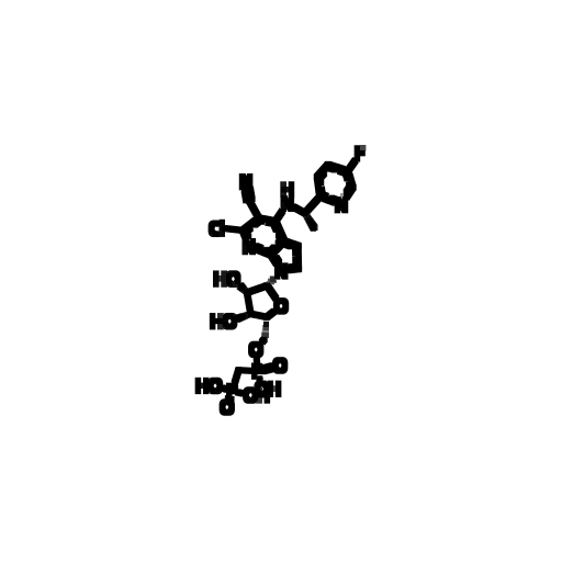 C[C@@H](Nc1c(C#N)c(Cl)nc2c1ccn2[C@@H]1O[C@H](COP(=O)(O)CP(=O)(O)O)[C@@H](O)[C@H]1O)c1ccc(F)cn1